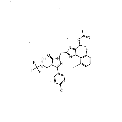 CC(=O)OC(C)c1nc(Cn2nc(-c3ccc(Cl)cc3)n(C[C@H](O)C(F)(F)F)c2=O)nn1-c1c(F)cccc1F